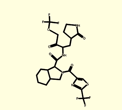 O=C1NCCC1CC(NC(=O)C1C2CCCCC2CN1C(=O)c1csc(C(F)(F)F)n1)C(=O)COC(F)(F)F